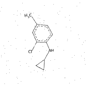 Cc1ccc(NC2CC2)c(Cl)c1